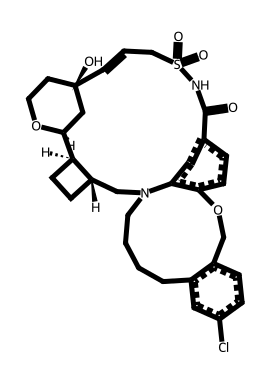 O=C1NS(=O)(=O)C/C=C/[C@@]2(O)CCO[C@@H](C2)[C@@H]2CC[C@H]2CN2CCCCc3cc(Cl)ccc3COc3ccc1cc32